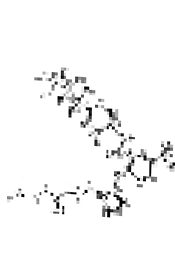 CN(C)CCC(=O)OCCn1nnnc1Sc1ccc([N+](=O)[O-])cc1C(=O)Nc1ncc(C(F)(F)C(F)(F)C(F)(F)F)cc1F